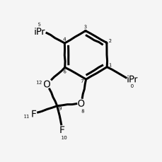 CC(C)c1ccc(C(C)C)c2c1OC(F)(F)O2